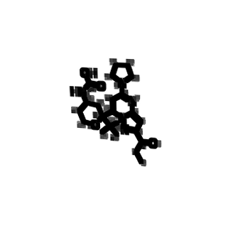 CCC(=O)c1cc2nc(N3CCCC3)cc(C3(C(C)(C)C)CC(NC(=O)O)CCO3)n2n1